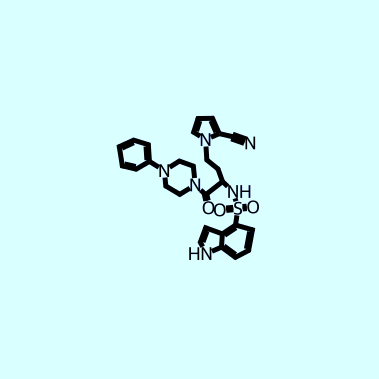 N#Cc1cccn1CCC(NS(=O)(=O)c1cccc2[nH]ccc12)C(=O)N1CCN(c2ccccc2)CC1